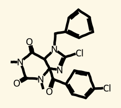 CN1C(=O)C2N(Cc3ccccc3)C(Cl)=NC2(C(=O)c2ccc(Cl)cc2)N(C)C1=O